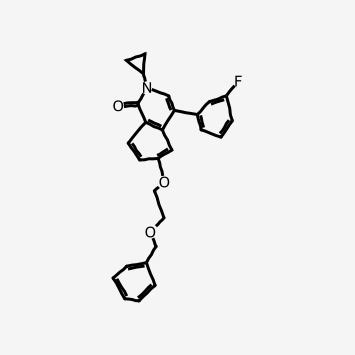 O=c1c2ccc(OCCOCc3ccccc3)cc2c(-c2cccc(F)c2)cn1C1CC1